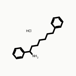 Cl.NC(CC[CH]CCCc1ccccc1)c1ccccc1